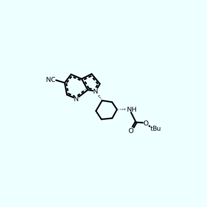 CC(C)(C)OC(=O)N[C@@H]1CCC[C@H](n2ccc3cc(C#N)cnc32)C1